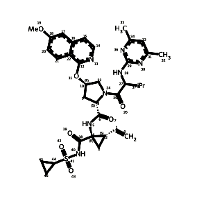 C=C[C@@H]1C[C@]1(NC(=O)[C@@H]1C[C@@H](Oc2nccc3cc(OC)ccc23)CN1C(=O)C(Nc1nc(C)cc(C)n1)C(C)C)C(=O)NS(=O)(=O)C1CC1